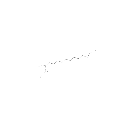 O=C=NCCCCCCCCCC(N=C=O)N=C=O